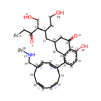 CC(=O)CC(=O)C(CO)C(CCO)CC1CC(=O)c2c(O)ccc(/C3=C/C=C(/CNC(C)C)C/C=C\C=C/C3)c2C1